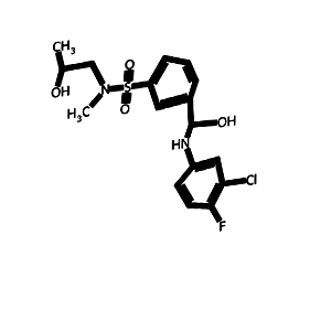 CC(O)CN(C)S(=O)(=O)c1cccc(C(O)Nc2ccc(F)c(Cl)c2)c1